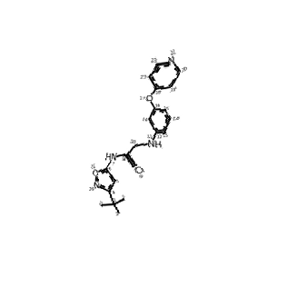 CC(C)(C)c1cc(NC(=O)CNc2cccc(Oc3ccncc3)c2)on1